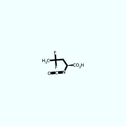 CC(F)(F)C[C@H](N=C=O)C(=O)O